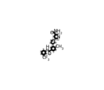 Cc1ccc(C(=O)Nc2cccc(C(F)(F)F)c2)cc1[C@@H]1CCN(c2cncc(C(N)=O)c2)C1